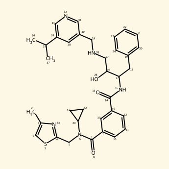 Cc1csc(CN(C(=O)c2cccc(C(=O)NC(Cc3ccccc3)C(O)CNCc3cncc(C(C)C)c3)c2)C2CC2)n1